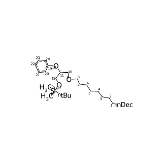 CCCCCCCCCCCCCCCCCCOC[C@@H](CO[Si](C)(C)C(C)(C)C)Oc1ccccc1